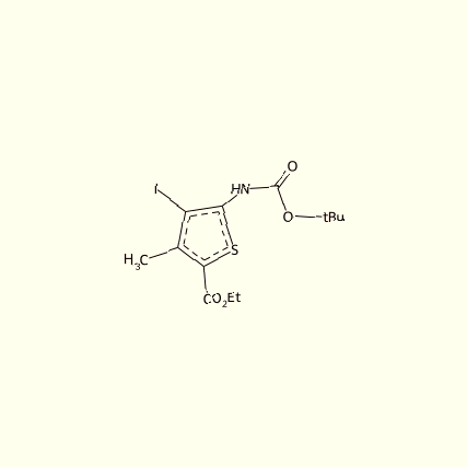 CCOC(=O)c1sc(NC(=O)OC(C)(C)C)c(I)c1C